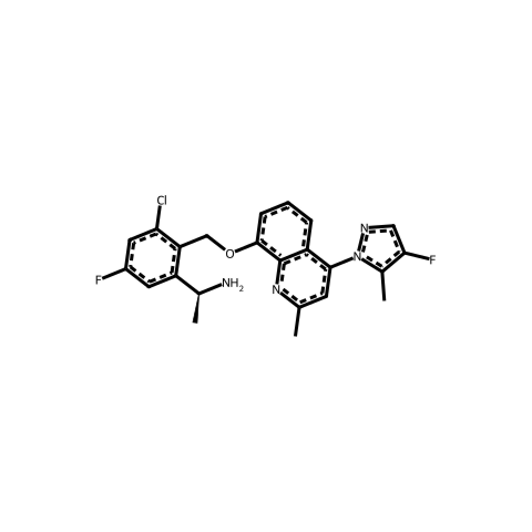 Cc1cc(-n2ncc(F)c2C)c2cccc(OCc3c(Cl)cc(F)cc3[C@H](C)N)c2n1